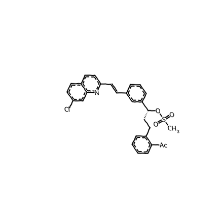 CC(=O)c1ccccc1CC[C@@H](OS(C)(=O)=O)c1cccc(C=Cc2ccc3ccc(Cl)cc3n2)c1